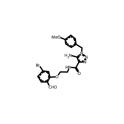 COc1ccc(Cn2nnc(C(=O)NCCOc3cc(Br)ccc3C=O)c2N)cc1